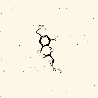 N/N=C/C(=O)Oc1c(Cl)cc(OC(F)(F)F)cc1Cl